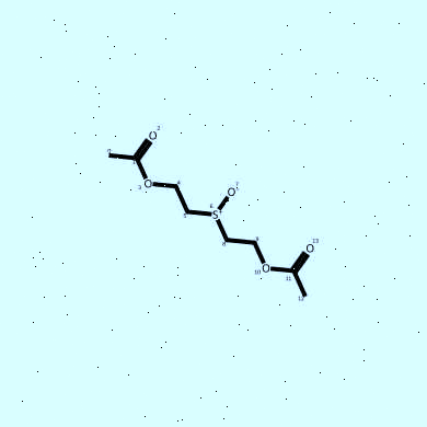 CC(=O)OCC[S+]([O-])CCOC(C)=O